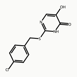 O=c1[nH]c(SCc2ccc(Cl)cc2)ncc1O